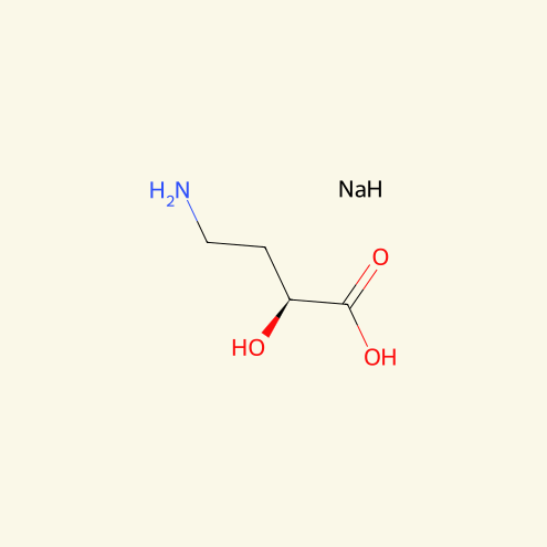 NCC[C@H](O)C(=O)O.[NaH]